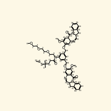 COCCOCCOCCN(C(=O)CCC(C)(C)SSC)c1cc(COC2=CC3N=CC4Cc5ccccc5N4C(=O)C3C=C2OC)cc(COc2cc3c(cc2OC)C(=O)N2c4ccccc4CC2C=N3)c1